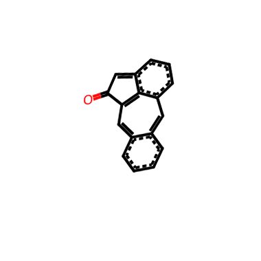 O=C1C=c2cccc3c2=C1C=c1ccccc1=C3